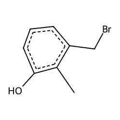 Cc1c(O)cccc1CBr